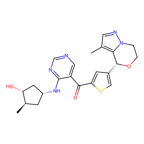 Cc1cnn2c1[C@@H](c1csc(C(=O)c3cncnc3N[C@@H]3C[C@@H](C)[C@H](O)C3)c1)OCC2